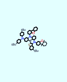 CC(C)(C)c1ccc(N(c2ccc(C(C)(C)C)cc2)c2ccc3c(c2)N(c2cccc4c2oc2ccccc24)c2cccc4c2B3c2sc3ccc(C(C)(C)C)cc3c2N4c2ccc3c(c2)OC2(C)CCCCC32C)cc1